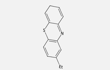 CCc1ccc2c(c1)N=C1C=CCC=C1S2